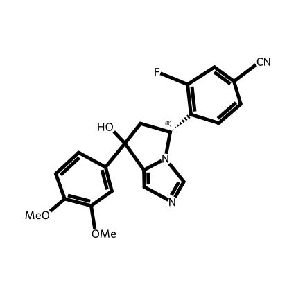 COc1ccc(C2(O)C[C@H](c3ccc(C#N)cc3F)n3cncc32)cc1OC